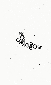 CC(c1nc2ccc(Br)cc2c(=O)n1C)N1CCN(S(=O)(=O)c2ccc(Br)cc2)CC1